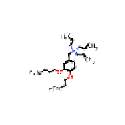 C=CC[N+](CC=C)(CC=C)Cc1ccc(OCCCCCCCCCCCC)c(OCCCCCCCCCCCCC)c1